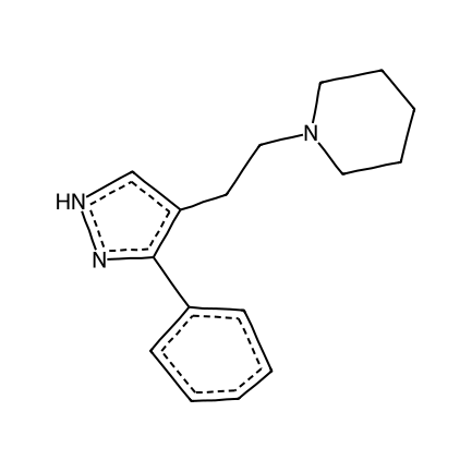 c1ccc(-c2n[nH]cc2CCN2CCCCC2)cc1